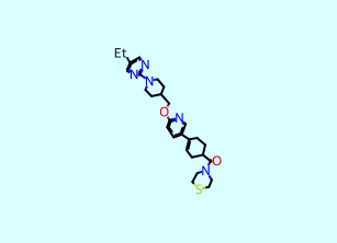 CCc1cnc(N2CCC(COc3ccc(C4=CCC(C(=O)N5CCSCC5)CC4)cn3)CC2)nc1